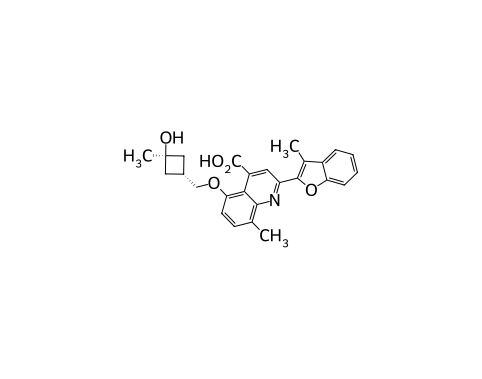 Cc1c(-c2cc(C(=O)O)c3c(OC[C@H]4C[C@](C)(O)C4)ccc(C)c3n2)oc2ccccc12